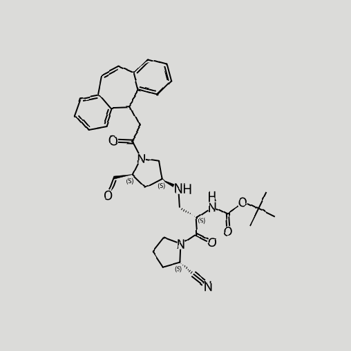 CC(C)(C)OC(=O)N[C@@H](CN[C@H]1C[C@@H](C=O)N(C(=O)CC2c3ccccc3C=Cc3ccccc32)C1)C(=O)N1CCC[C@H]1C#N